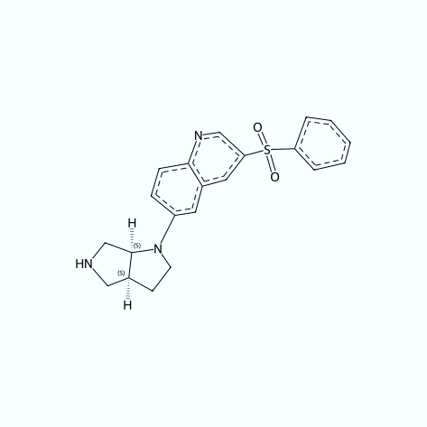 O=S(=O)(c1ccccc1)c1cnc2ccc(N3CC[C@H]4CNC[C@H]43)cc2c1